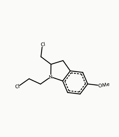 COc1ccc2c(c1)CC(CCl)N2CCCl